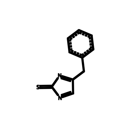 S=C1N=CC(Cc2ccccc2)=N1